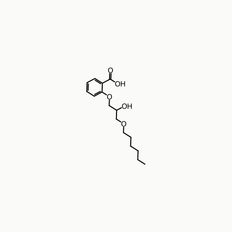 CCCCCCOCC(O)COc1ccccc1C(=O)O